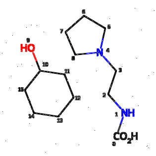 O=C(O)NCCN1CCCC1.OC1CCCCC1